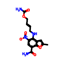 Cc1cc2c(NCC=CCOC(N)=O)c([N+](=O)[O-])cc(C(N)=O)c2o1